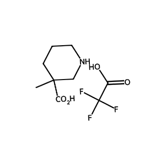 CC1(C(=O)O)CCCNC1.O=C(O)C(F)(F)F